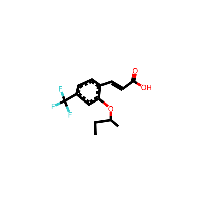 CCC(C)Oc1cc(C(F)(F)F)ccc1C=CC(=O)O